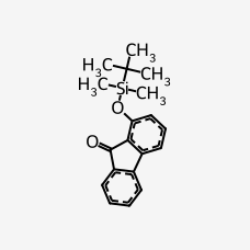 CC(C)(C)[Si](C)(C)Oc1cccc2c1C(=O)c1ccccc1-2